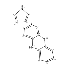 c1c[nH]cn1.c1ccc2c(c1)Nc1ccccc1S2